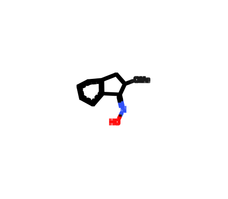 COC1Cc2ccccc2C1=NO